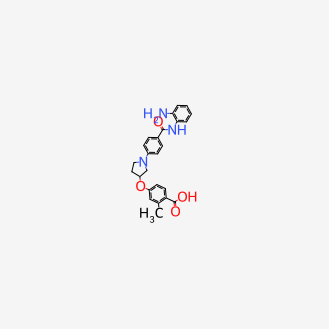 Cc1cc(OC2CCN(c3ccc(C(=O)Nc4ccccc4N)cc3)C2)ccc1C(=O)O